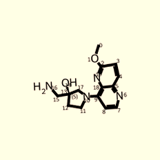 COc1ccc2nccc(N3CC[C@](O)(CN)C3)c2n1